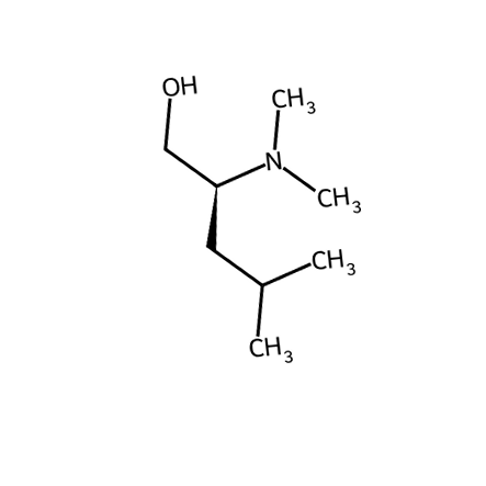 CC(C)C[C@@H](CO)N(C)C